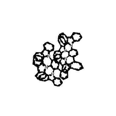 c1cc(-c2ccc(-n3c4ccccc4c4ccccc43)c(-n3c4ccccc4c4ccccc43)c2-n2c3ccccc3c3ccccc32)c2sc3c(-c4ccc(-n5c6ccccc6c6ccccc65)c(-n5c6ccccc6c6ccccc65)c4-n4c5ccccc5c5ccccc54)cccc3c2c1